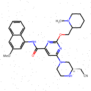 COc1cc(NC(=O)c2cc(N3CCN[C@@H](CC#N)C3)nc(OCC3CCCCN3C)n2)c2ccccc2c1